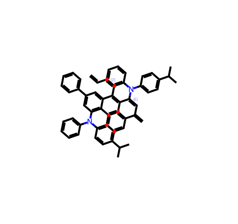 C=C/C=C\c1c(/C(=C\C(=C)c2ccccc2)N(c2ccccc2)c2ccc(C(C)C)cc2)ccc2c(N(c3ccccc3)c3ccc(C(C)C)cc3)cc(-c3ccccc3)cc12